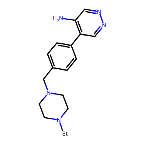 CCN1CCN(Cc2ccc(-c3cnncc3N)cc2)CC1